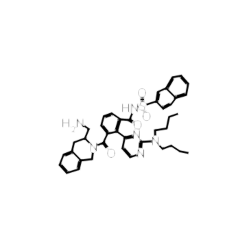 CCCCN(CCCC)c1nccc(-c2c(C(=O)NS(=O)(=O)c3ccc4ccccc4c3)cccc2C(=O)N2Cc3ccccc3CC2CN)n1